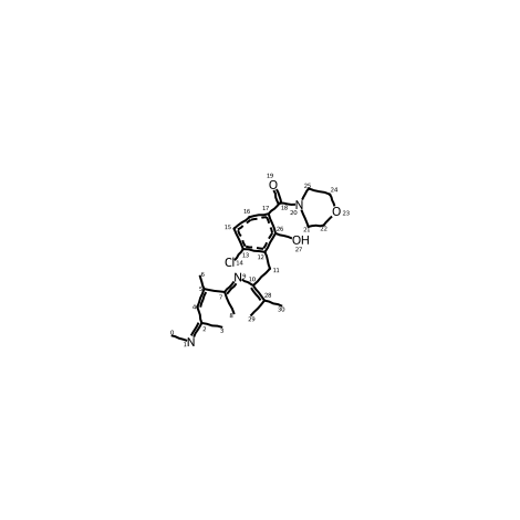 C\N=C(C)/C=C(C)\C(C)=N\C(Cc1c(Cl)ccc(C(=O)N2CCOCC2)c1O)=C(C)C